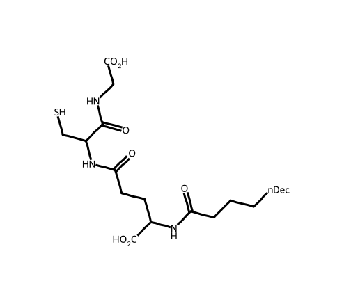 CCCCCCCCCCCCCC(=O)NC(CCC(=O)NC(CS)C(=O)NCC(=O)O)C(=O)O